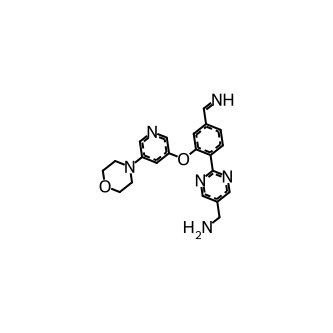 N=Cc1ccc(-c2ncc(CN)cn2)c(Oc2cncc(N3CCOCC3)c2)c1